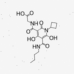 CCCCNC(=O)c1c(O)c(C(=O)NCC(=O)O)c(=O)n(C2CCC2)c1O